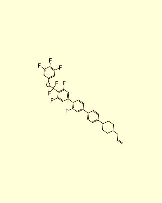 C=CCC1CCC(c2ccc(-c3ccc(-c4cc(F)c(C(F)(F)Oc5cc(F)c(F)c(F)c5)c(F)c4)c(F)c3)cc2)CC1